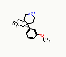 CC[C@]1(c2cccc(OC)c2)CCNC[C@@H]1C